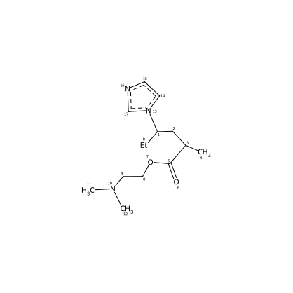 CCC(CC(C)C(=O)OCCN(C)C)n1ccnc1